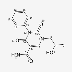 CC(O)Cn1cc(C(N)=O)c(=O)n(-c2ccccc2)c1=O